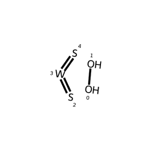 OO.[S]=[W]=[S]